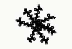 C=C(C)C(=O)OCCC[Si]12O[Si]3(CCCOC(=O)C(=C)C)O[Si]4(CCCOC(=O)C(=C)C)O[Si](CCCOC(=O)C(=C)C)(O1)O[Si]1(CCCOC(=O)C(=C)C)O[Si](CCCOC(=O)C(=C)C)(O2)O[Si](CCCOC(=O)C(=C)C)(O3)O[Si](CCCOC(=O)C(C)C)(O4)O1